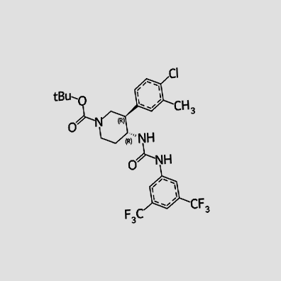 Cc1cc([C@@H]2CN(C(=O)OC(C)(C)C)CC[C@H]2NC(=O)Nc2cc(C(F)(F)F)cc(C(F)(F)F)c2)ccc1Cl